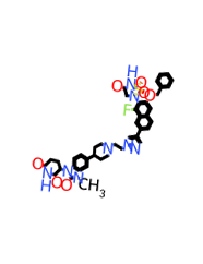 Cn1c(=O)n(C2CCC(=O)NC2=O)c2ccc(C3CCN(CCn4cc(-c5ccc6cc(OCc7ccccc7)c(N7CC(=O)NS7(=O)=O)c(F)c6c5)cn4)CC3)cc21